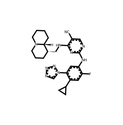 N#Cc1cnc(Nc2cc(-n3cnnn3)c(C3CC3)cc2F)nc1NC[C@@H]1CCCN2CCCC[C@H]12